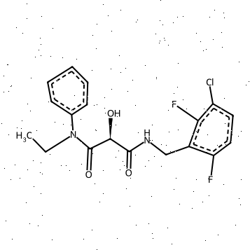 CCN(C(=O)[C@@H](O)C(=O)NCc1c(F)ccc(Cl)c1F)c1ccccc1